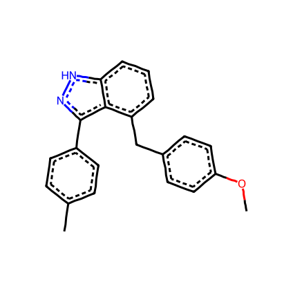 COc1ccc(Cc2cccc3[nH]nc(-c4ccc(C)cc4)c23)cc1